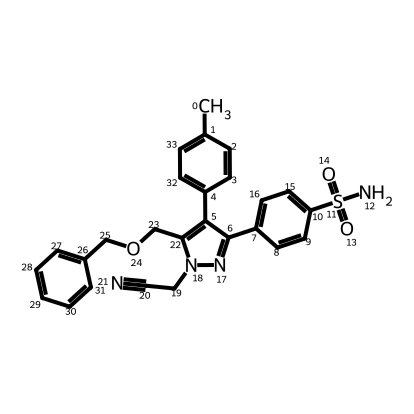 Cc1ccc(-c2c(-c3ccc(S(N)(=O)=O)cc3)nn(CC#N)c2COCc2ccccc2)cc1